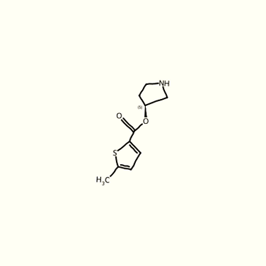 Cc1ccc(C(=O)O[C@H]2CCNC2)s1